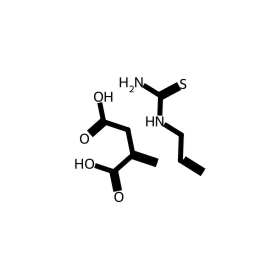 C=C(CC(=O)O)C(=O)O.C=CCNC(N)=S